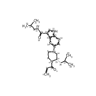 C=CC(=O)N1CCN(c2cnc3[nH]cc(C(=O)NCC(C)C)c3n2)C[C@@H]1CC(C)C